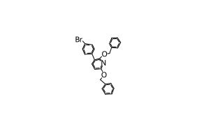 Brc1ccc(-c2ccc(OCc3ccccc3)nc2OCc2ccccc2)cc1